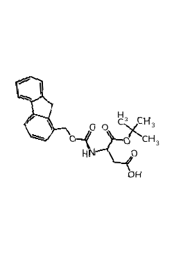 CC(C)(C)OC(=O)C(CC(=O)O)NC(=O)OCc1cccc2c1Cc1ccccc1-2